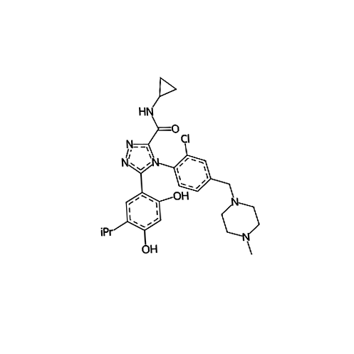 CC(C)c1cc(-c2nnc(C(=O)NC3CC3)n2-c2ccc(CN3CCN(C)CC3)cc2Cl)c(O)cc1O